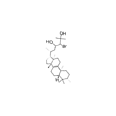 C[C@H](CC(O)C(Br)C(C)(C)O)[C@H]1CC[C@@]2(C)C3=C(CC[C@]12C)[C@@]1(C)CC[C@H](C)C(C)(C)[C@@H]1CC3